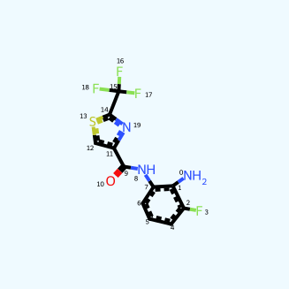 Nc1c(F)cccc1NC(=O)c1csc(C(F)(F)F)n1